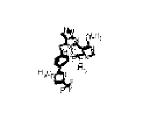 COc1ncnc(C(C)(C)F)c1C1=NC(Cc2ccc(-c3nc(C(F)(F)F)cn3C)cc2)C2=CN=NC2=N1